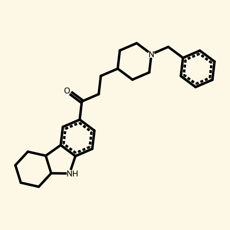 O=C(CCC1CCN(Cc2ccccc2)CC1)c1ccc2c(c1)C1CCCCC1N2